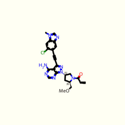 C=CC(=O)N1C[C@@H](n2nc(C#Cc3cc4ncn(C)c4cc3Cl)c3c(N)ncnc32)C[C@@H]1COC